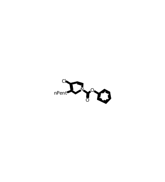 CCCCCC1=C(Cl)C=CN(C(=O)Oc2ccccc2)C1